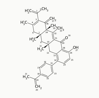 C=C(C)C1=C(C)C[C@@]2(C)C[C@@]3(C)Cc4c(-c5ccc(C(=C)C)cc5)ccc(O)c4C(=O)C3=C(C)[C@@]2(C)C1=C